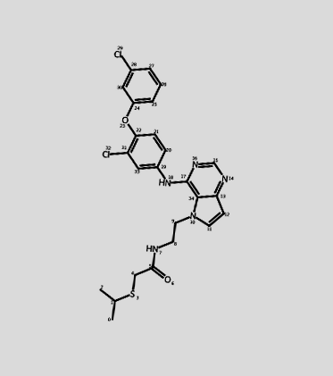 CC(C)SCC(=O)NCCn1ccc2ncnc(Nc3ccc(Oc4cccc(Cl)c4)c(Cl)c3)c21